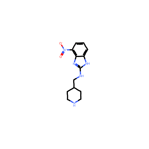 O=[N+]([O-])c1cccc2[nH]c(NCC3CCNCC3)nc12